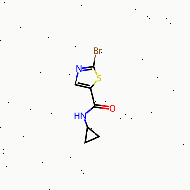 O=C(NC1CC1)c1cnc(Br)s1